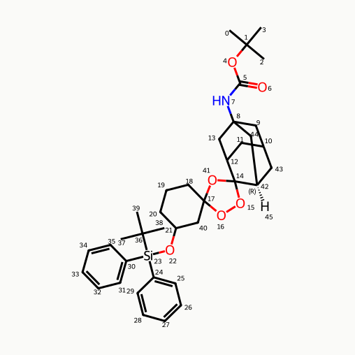 CC(C)(C)OC(=O)NC12CC3CC(C1)C1(OOC4(CCCC(O[Si](c5ccccc5)(c5ccccc5)C(C)(C)C)C4)O1)[C@H](C3)C2